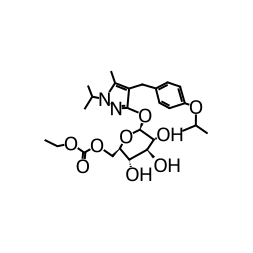 CCOC(=O)OC[C@H]1O[C@@H](Oc2nn(C(C)C)c(C)c2Cc2ccc(OC(C)C)cc2)[C@H](O)[C@@H](O)[C@@H]1O